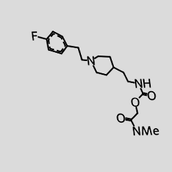 CNC(=O)COC(=O)NCCC1CCN(CCc2ccc(F)cc2)CC1